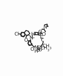 C[C@@H]1[C@@H](C)CCC[C@H](C2OCC(N3CCC3)CO2)[C@@H]2CC[C@H]2CN2C[C@@]3(CCCc4cc(Cl)ccc43)COc3ccc(cc32)C(=O)NS1(=O)=O